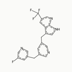 Fc1cncc(Cc2[c]ncc(Cc3c[nH]c4ncc(C(F)(F)F)cc34)c2)c1